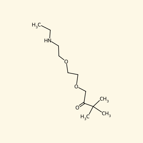 CCNCCOCCOCC(=O)C(C)(C)C